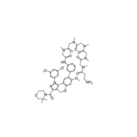 COc1cc2c(cc1-c1cccc(NC(=O)CN(C)C(=O)CN(C)C(=O)CN(C)C(=O)CN(C)C(=O)CN(C)C(=O)CCN)c1)-c1c(c(C(=O)N3CCOCC3(C)C)nn1-c1cc(Cl)cc(Cl)c1)CO2